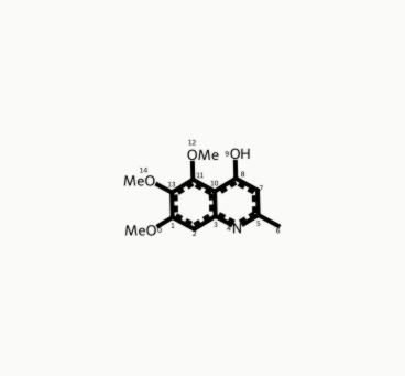 COc1cc2nc(C)cc(O)c2c(OC)c1OC